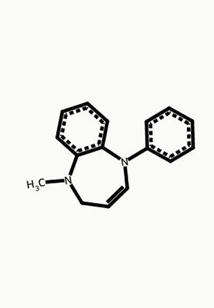 CN1CC=CN(c2ccccc2)c2ccccc21